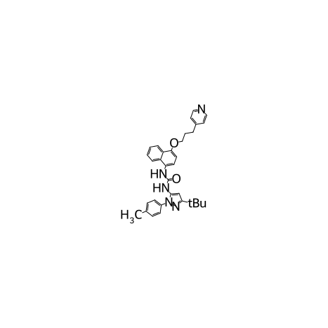 Cc1ccc(-n2nc(C(C)(C)C)cc2NC(=O)Nc2ccc(OCCCc3ccncc3)c3ccccc23)cc1